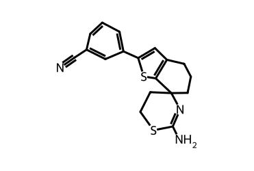 N#Cc1cccc(-c2cc3c(s2)C2(CCC3)CCSC(N)=N2)c1